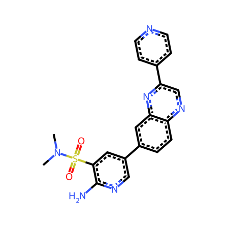 CN(C)S(=O)(=O)c1cc(-c2ccc3ncc(-c4ccncc4)nc3c2)cnc1N